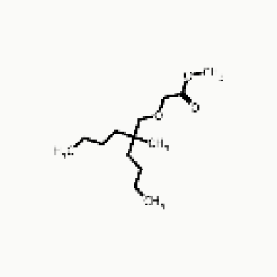 CCCCC(C)(CCCC)COCC(=O)OC